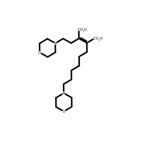 O=C(O)C(CCCCCCN1CCOCC1)=C(CCN1CCOCC1)C(=O)O